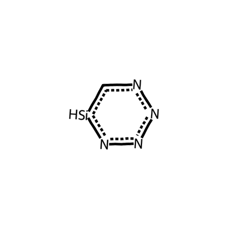 c1nnnn[siH]1